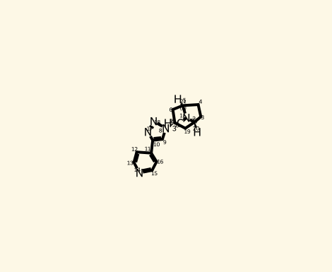 CN1[C@@H]2CC[C@H]1C[C@@H](n1cc(-c3ccncc3)nn1)C2